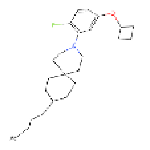 CC(=O)CCCC1CCC2(CC1)CCN(c1cc(OC3CCC3)ccc1F)CC2